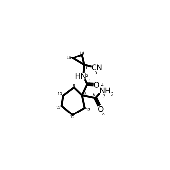 N#CC1(NC(=O)C2(C(N)=O)CCCCC2)CC1